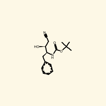 CC(C)(C)OC(=O)N[C@@H](Cc1ccccc1)[C@@H](O)CC#N